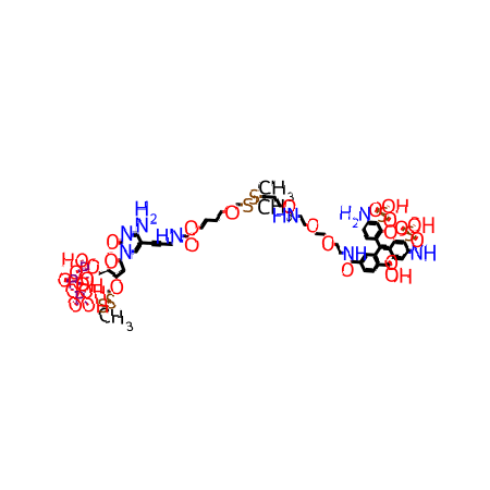 CSSCO[C@H]1CC(n2cc(C#CCNC(=O)OCCCCOCSSC(C)(C)CCONCCOCCOCCNC(=O)c3ccc(C(=O)O)c(-c4c5ccc(=N)c(S(=O)(=O)O)c-5oc5c(S(=O)(=O)O)c(N)ccc45)c3)c(N)nc2=O)O[C@@H]1COP(=O)(O)OP(=O)(O)OP(=O)(O)O